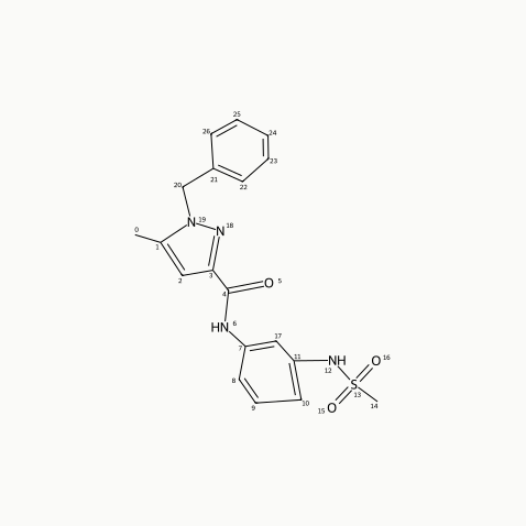 Cc1cc(C(=O)Nc2cccc(NS(C)(=O)=O)c2)nn1Cc1ccccc1